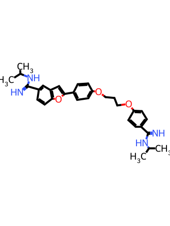 CC(C)NC(=N)c1ccc(OCCCOc2ccc(-c3cc4cc(C(=N)NC(C)C)ccc4o3)cc2)cc1